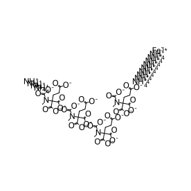 CN(C(=O)[O-])C(CCC(=O)[O-])(C(=O)[O-])C(=O)[O-].CN(C(=O)[O-])C(CCC(=O)[O-])(C(=O)[O-])C(=O)[O-].CN(C(=O)[O-])C(CCC(=O)[O-])(C(=O)[O-])C(=O)[O-].CN(C(=O)[O-])C(CCC(=O)[O-])(C(=O)[O-])C(=O)[O-].[Fe+3].[NH4+].[NH4+].[NH4+].[NH4+].[NH4+].[NH4+].[NH4+].[NH4+].[NH4+].[NH4+].[NH4+].[NH4+].[NH4+]